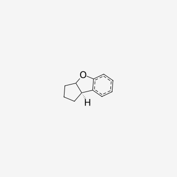 c1ccc2c(c1)OC1CCC[C@H]21